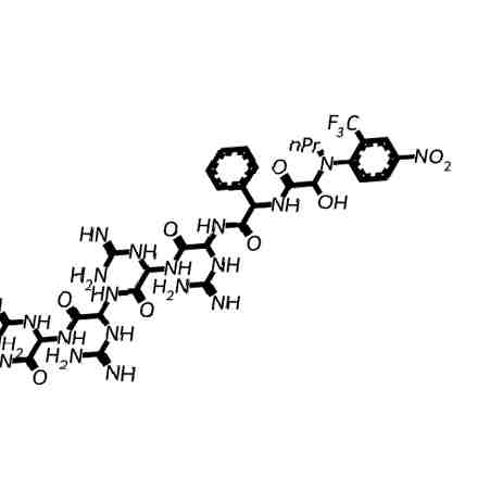 CCCN(c1ccc([N+](=O)[O-])cc1C(F)(F)F)C(O)C(=O)NC(C(=O)NC(NC(=N)N)C(=O)NC(NC(=N)N)C(=O)NC(NC(=N)N)C(=O)NC(NC(=N)N)C(N)=O)c1ccccc1